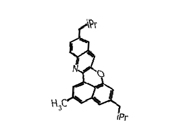 Cc1cc2c3c(cc(CC(C)C)cc3c1)Oc1cc3cc(CC(C)C)ccc3nc1-2